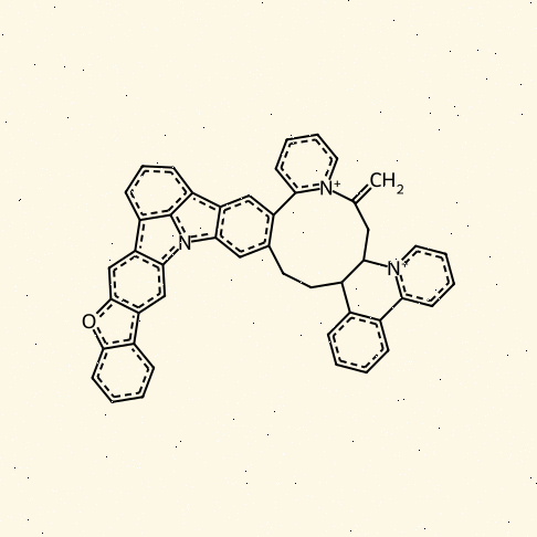 C=C1CC2C(CCc3cc4c(cc3-c3cccc[n+]31)c1cccc3c5cc6oc7ccccc7c6cc5n4c13)c1ccccc1-c1cccc[n+]12